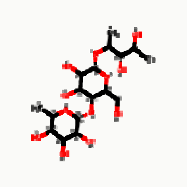 CC(O)[C@H](O)C(C)O[C@@H]1OC(CO)[C@@H](O[C@H]2OC(C)[C@H](O)C(O)[C@@H]2O)C(O)C1O